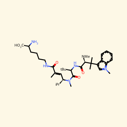 CN[C@H](C(=O)NC(C(=O)N(C)[C@H](/C=C(\C)C(=O)NCCCCC(N)C(=O)O)C(C)C)C(C)(C)C)C(C)(C)c1cn(C)c2ccccc12